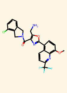 COc1ccc(-c2nc(C(=O)N3Cc4cccc(Cl)c4C3)c(CN)o2)c2ccc(C(F)(F)F)nc12